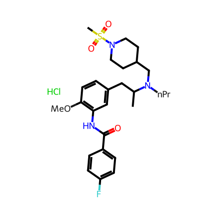 CCCN(CC1CCN(S(C)(=O)=O)CC1)C(C)Cc1ccc(OC)c(NC(=O)c2ccc(F)cc2)c1.Cl